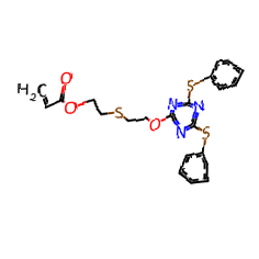 C=CC(=O)OCCSCCOc1nc(Sc2ccccc2)nc(Sc2ccccc2)n1